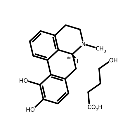 CN1CCc2cccc3c2[C@H]1Cc1ccc(O)c(O)c1-3.O=C(O)CCCO